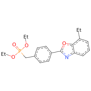 CCOP(=O)(Cc1ccc(-c2nc3cccc(CC)c3o2)cc1)OCC